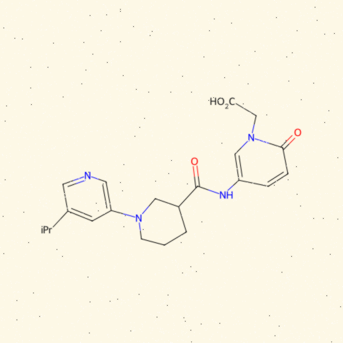 CC(C)c1cncc(N2CCCC(C(=O)Nc3ccc(=O)n(CC(=O)O)c3)C2)c1